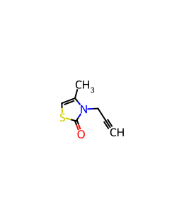 C#CCn1c(C)csc1=O